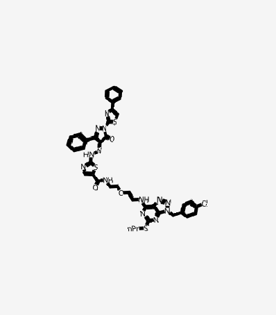 CCCSc1nc(NCCOCCNC(=O)c2cnc(N/N=C3/C(=O)N(c4nc(-c5ccccc5)cs4)N=C3c3ccccc3)s2)c2nnn(Cc3ccc(Cl)cc3)c2n1